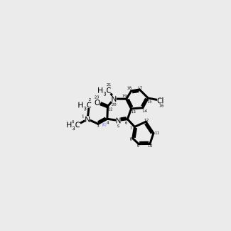 CN(C)/C=C1/N=C(c2ccccc2)c2cc(Cl)ccc2N(C)C1=O